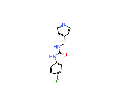 O=C(NCc1ccncc1)Nc1ccc(Cl)cc1